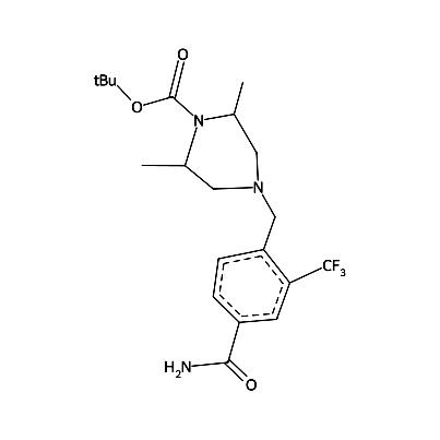 CC1CN(Cc2ccc(C(N)=O)cc2C(F)(F)F)CC(C)N1C(=O)OC(C)(C)C